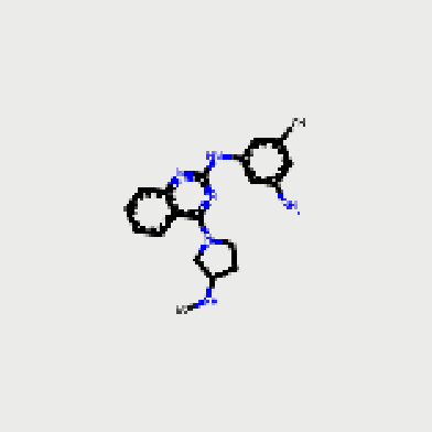 CCNC1CCN(c2nc(Nc3cc(N)cc(C#N)c3)nc3ccccc23)C1